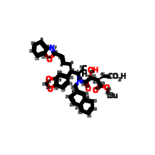 C[C@H]([C@H](C/C=C/c1nc2ccccc2o1)c1ccc2c(c1)OCO2)N(Cc1ccc2ccccc2c1)C(=O)[C@@H](O)[C@H](CC(=O)O)C(=O)OC(C)(C)C